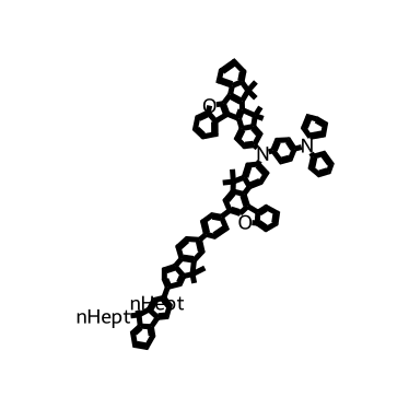 CCCCCCCC1(CCCCCCC)c2ccccc2-c2ccc(-c3ccc4c(c3)C(C)(C)c3cc(-c5ccc(-c6cc7c(c8c6oc6ccccc68)-c6ccc(N(c8ccc(N(c9ccccc9)c9ccccc9)cc8)c8ccc9c(c8)C(C)(C)c8c%10c(c%11oc%12ccccc%12c%11c8-9)-c8ccccc8C%10(C)C)cc6C7(C)C)cc5)ccc3-4)cc21